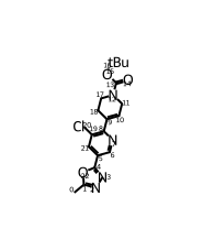 Cc1nnc(-c2cnc(C3=CCN(C(=O)OC(C)(C)C)CC3)c(Cl)c2)o1